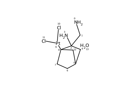 NCC1(N)CC2CC[C]1([Pt]([Cl])[Cl])C2.O